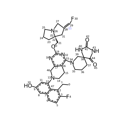 CCc1c(F)ccc2cc(O)cc(N3CCc4c(nc(OC[C@@]56CCCN5C/C(=C\F)C6)nc4N4CCCC5(C4)NC(=O)NC5=O)C3)c12